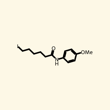 COc1ccc(NC(=O)CCCCCI)cc1